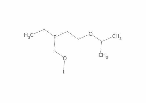 CCP(CCOC(C)C)COI